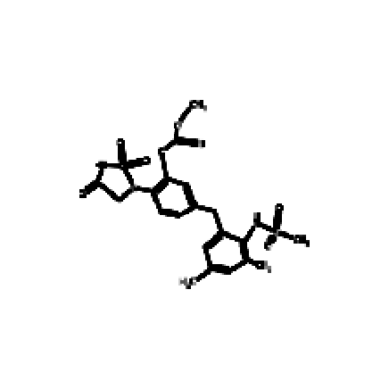 COC(=O)Oc1cc(Cc2cc(C)cc(C)c2NS(C)(=O)=O)ccc1N1CC(=O)NS1(=O)=O